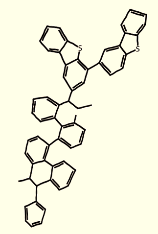 CCC(c1cc(-c2ccc3sc4ccccc4c3c2)c2sc3ccccc3c2c1)c1ccccc1-c1c(C)cccc1-c1cccc2c1-c1ccccc1C(c1ccccc1)C2C